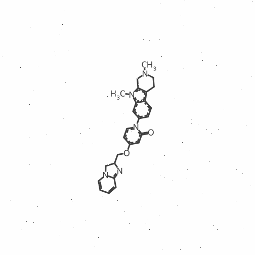 CN1CCc2c(n(C)c3cc(-n4ccc(OCC5CN6C=CC=CC6=N5)cc4=O)ccc23)C1